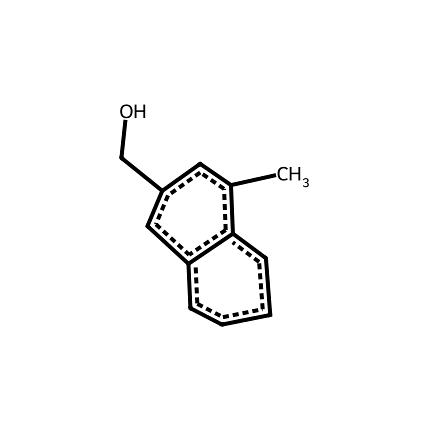 Cc1cc(CO)cc2ccccc12